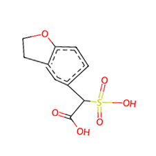 O=C(O)C(c1ccc2c(c1)CCO2)S(=O)(=O)O